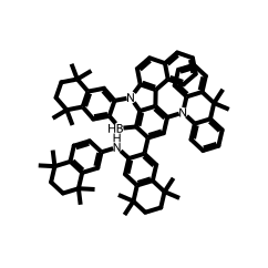 CC1(C)CCC(C)(C)c2cc(Nc3cc4c(cc3-c3cc(N5c6ccccc6C(C)(C)c6ccccc65)c5c6c7ccccc7ccc6n6c5c3Bc3cc5c(cc3-6)C(C)(C)CCC5(C)C)C(C)(C)CCC4(C)C)ccc21